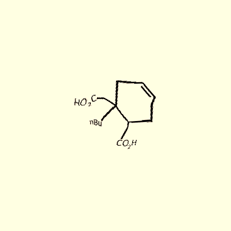 CCCCC1(C(=O)O)CC=CCC1C(=O)O